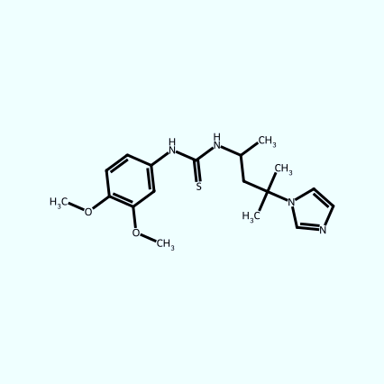 COc1ccc(NC(=S)NC(C)CC(C)(C)n2ccnc2)cc1OC